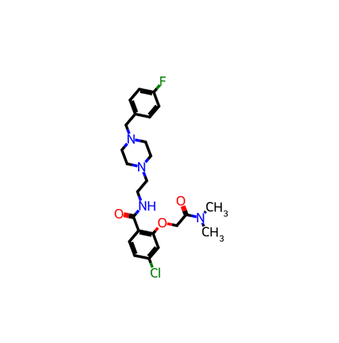 CN(C)C(=O)COc1cc(Cl)ccc1C(=O)NCCN1CCN(Cc2ccc(F)cc2)CC1